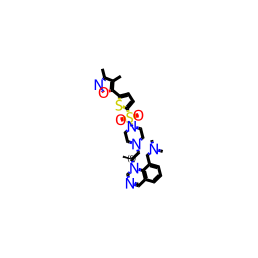 Cc1noc(-c2ccc(S(=O)(=O)N3CCN(C[C@H](C)N4CN=Cc5cccc(CN(C)C)c54)CC3)s2)c1C